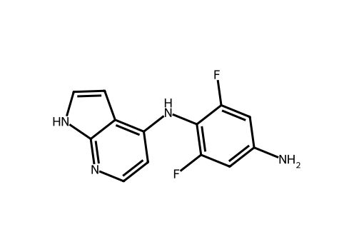 Nc1cc(F)c(Nc2ccnc3[nH]ccc23)c(F)c1